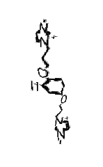 Cn1cc[n+](CCCOc2ccc(OCCC[n+]3ccn(C)c3)cc2)c1.[I-].[I-]